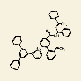 C=Cc1cccc(-c2ccc(-c3cc(-c4ccccc4)cc(-c4ccccc4)c3)cc2)c1-c1cc(C(=N)NC(/N=C(\C)c2ccccc2)c2ccccc2)ccc1C